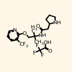 CC(C)(COc1ncccc1C(F)(F)F)NC(=O)CC1CCCN1.O=C(O)C(F)(F)F